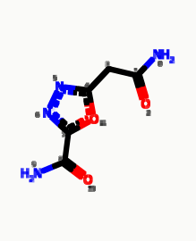 NC(=O)Cc1nnc(C(N)=O)o1